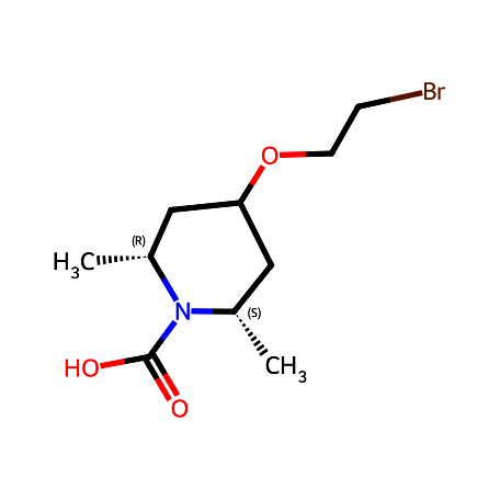 C[C@@H]1CC(OCCBr)C[C@H](C)N1C(=O)O